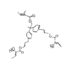 CC=C(C)C(=O)OCC(C)(c1ccc(CCCOC(=O)C(O)=CC)cc1)c1ccc(CCCOC(=O)C(O)=CC)cc1